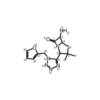 CC1(C)SC2C(N)C(=O)N2C1c1nnnn1Cc1ccco1